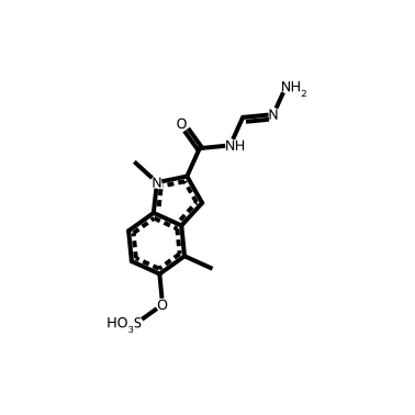 Cc1c(OS(=O)(=O)O)ccc2c1cc(C(=O)NC=NN)n2C